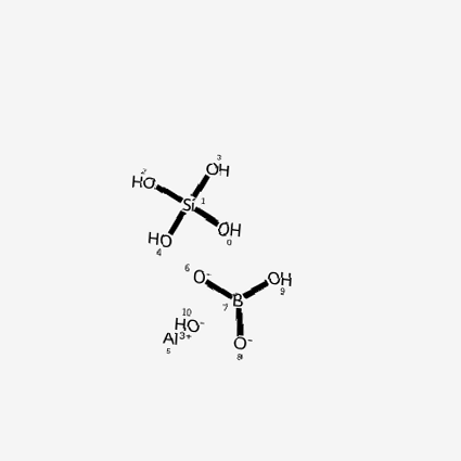 O[Si](O)(O)O.[Al+3].[O-]B([O-])O.[OH-]